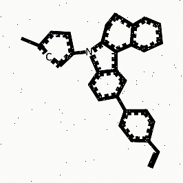 C=Cc1ccc(-c2ccc3c(c2)c2c4ccccc4ccc2n3-c2ccc(C)cc2)cc1